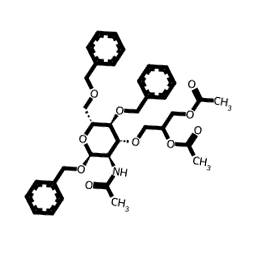 CC(=O)N[C@H]1[C@@H](OCc2ccccc2)O[C@H](COCc2ccccc2)[C@@H](OCc2ccccc2)[C@@H]1OCC(COC(C)=O)OC(C)=O